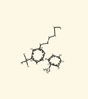 CCCCCCc1cccc(C(C)(C)C)c1.Oc1ccccc1